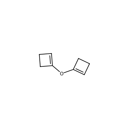 C1=C(OC2=CCC2)CC1